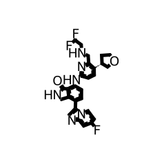 O=C1NCc2c(-c3cnc4cc(F)ccn34)ccc(Nc3ccc([C@@H]4CCOC4)c(CNCC(F)F)n3)c21